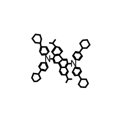 CC(C)c1ccc2c(c1)c(N(c1ccc(C3CCCCC3)cc1)c1ccc(C3CCCCC3)cc1)cc1c3ccc(C(C)C)cc3c(N(c3ccc(C4CCCCC4)cc3)c3ccc(C4CCCCC4)cc3)cc21